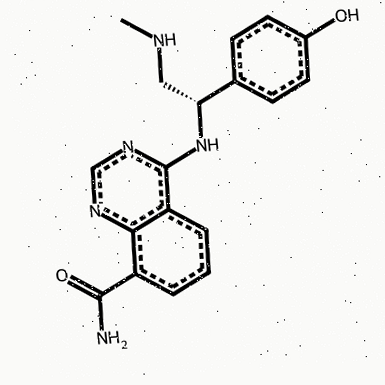 CNC[C@@H](Nc1ncnc2c(C(N)=O)cccc12)c1ccc(O)cc1